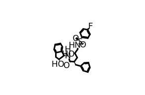 O=C(N[C@H]1c2ccccc2C[C@H]1O)[C@H](Cc1ccccc1)C[C@H](O)CNS(=O)(=O)c1ccc(F)cc1